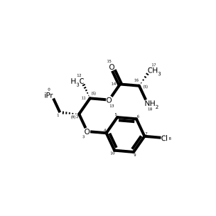 CC(C)C[C@@H](Oc1ccc(Cl)cc1)[C@H](C)OC(=O)[C@H](C)N